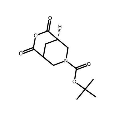 CC(C)(C)OC(=O)N1CC2C[C@H](C1)C(=O)OC2=O